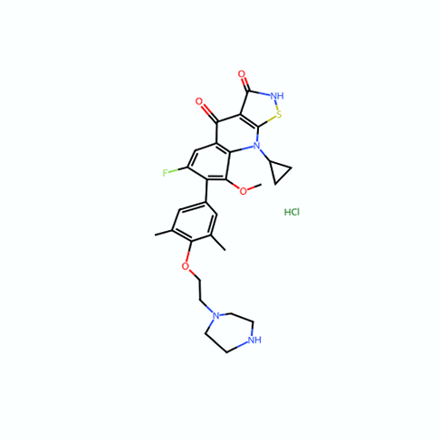 COc1c(-c2cc(C)c(OCCN3CCNCC3)c(C)c2)c(F)cc2c(=O)c3c(=O)[nH]sc3n(C3CC3)c12.Cl